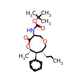 CCC[C@H]1COC[C@H](NC(=O)OC(C)(C)C)C(=O)O[C@@H](C)[C@@H]1c1ccccc1